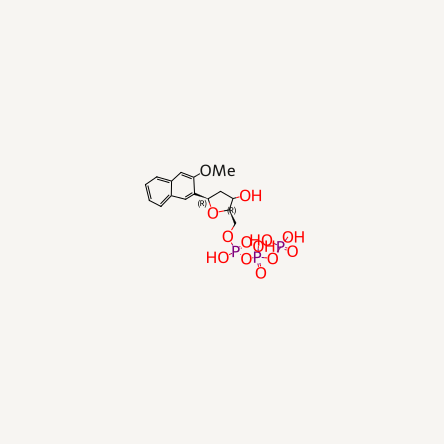 COc1cc2ccccc2cc1[C@H]1CC(O)[C@@H](COP(=O)(O)OP(=O)(O)OP(=O)(O)O)O1